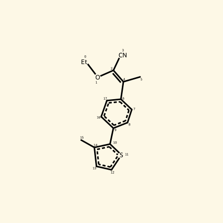 CCO/C(C#N)=C(/C)c1ccc(-c2sccc2C)cc1